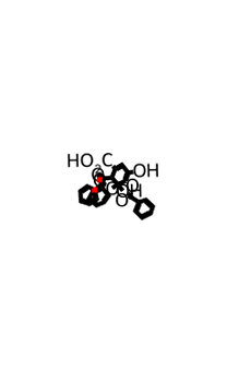 O=C(O)C1=CC(O)=C(OC(=O)c2ccccc2)C(O)(OC(=O)c2ccccc2)C1C(=O)c1ccccc1